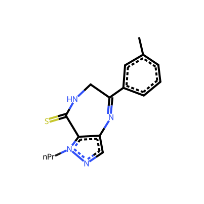 CCCn1ncc2c1C(=S)NCC(c1cccc(C)c1)=N2